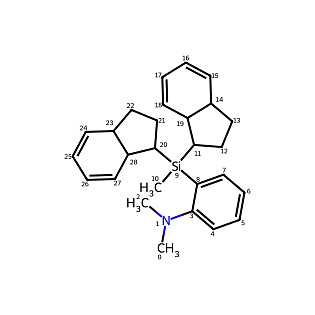 CN(C)c1ccccc1[Si](C)(C1CCC2C=CC=CC21)C1CCC2C=CC=CC21